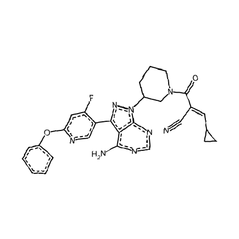 N#CC(=CC1CC1)C(=O)N1CCCC(n2nc(-c3cnc(Oc4ccccc4)cc3F)c3c(N)ncnc32)C1